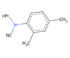 CCCN(C#N)c1ccc(C)cc1C